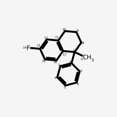 CC1(c2ccccc2)CCCc2cc(F)ccc21